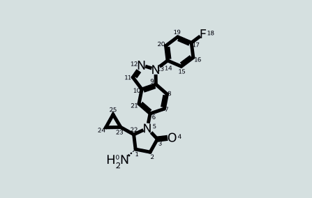 N[C@H]1CC(=O)N(c2ccc3c(cnn3-c3ccc(F)cc3)c2)C1C1CC1